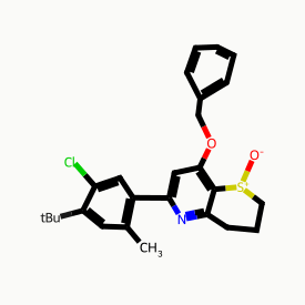 Cc1cc(C(C)(C)C)c(Cl)cc1-c1cc(OCc2ccccc2)c2c(n1)CCC[S+]2[O-]